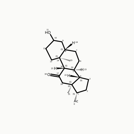 CC(=O)[C@H]1CC[C@H]2[C@@H]3CC[C@H]4CC(O)CC[C@]4(C)[C@H]3C(=O)C[C@]12C